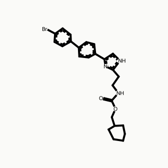 O=C(NCCc1nc(-c2ccc(-c3ccc(Br)cc3)cc2)c[nH]1)OCC1CCCCC1